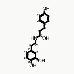 Oc1ccc(CC[C@@H](O)NCCc2ccc(O)c(O)c2)cc1